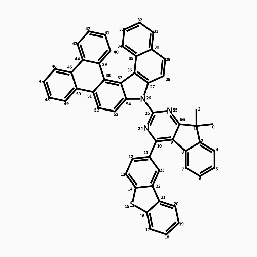 CC1(C)c2ccccc2-c2c(-c3ccc4sc5ccccc5c4c3)nc(-n3c4ccc5ccccc5c4c4c5c6ccccc6c6ccccc6c5ccc43)nc21